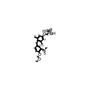 COCOc1ccc(Cc2c(C)cc(OCP(=O)(O)O)cc2C)cc1N(C)C